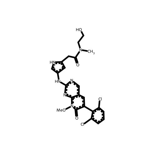 COn1c(=O)c(-c2c(Cl)cccc2Cl)cc2cnc(Nc3c[nH]c(CC(=O)N(C)CCO)c3)nc21